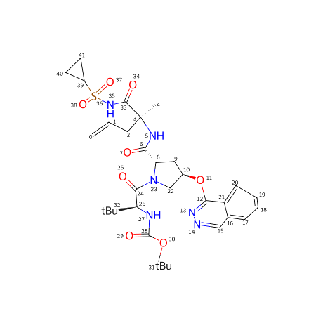 C=CC[C@](C)(NC(=O)[C@@H]1C[C@@H](Oc2nncc3ccccc23)CN1C(=O)[C@@H](NC(=O)OC(C)(C)C)C(C)(C)C)C(=O)NS(=O)(=O)C1CC1